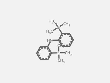 C[Si](C)(C)c1ccccc1Nc1ccccc1[Si](C)(C)C